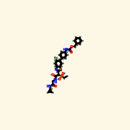 CCS(=O)(=O)C(C(=O)NCC(=O)NC1CC1)c1nc2cc(F)c(-c3ccc(NC(=O)OCc4ccccc4)cc3)cc2s1